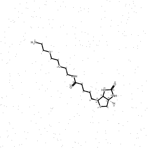 NCCOCCOCCNC(=O)CCCC[C@@H]1SC[C@@H]2NC(=O)NC21